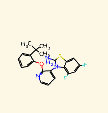 CC(C)(C)c1ccccc1Oc1ncccc1N1c2c(F)cc(F)cc2SC1N